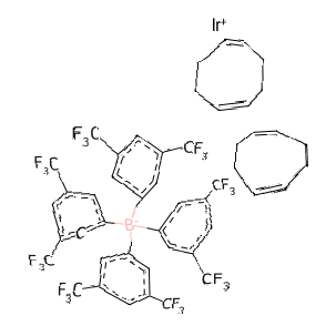 C1=CCCC=CCC1.C1=CCCC=CCC1.FC(F)(F)c1cc([B-](c2cc(C(F)(F)F)cc(C(F)(F)F)c2)(c2cc(C(F)(F)F)cc(C(F)(F)F)c2)c2cc(C(F)(F)F)cc(C(F)(F)F)c2)cc(C(F)(F)F)c1.[Ir+]